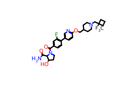 NC(=O)C1C(O)CCN1C(=O)c1ccc(-c2ccc(OCC3CCN(CC4(C(F)(F)F)CCC4)CC3)nc2)c(F)c1